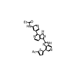 CCC(=O)Nc1cncc(-c2nccc3c(-c4nc5c(-c6ccc(C(C)=O)s6)cncc5[nH]4)n[nH]c23)c1